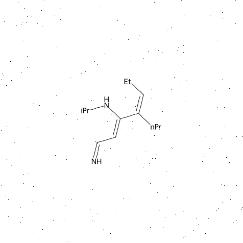 CC/C=C(CCC)\C(=C\C=N)NC(C)C